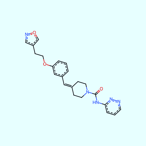 O=C(Nc1cccnn1)N1CCC(=Cc2cccc(OCCc3cnoc3)c2)CC1